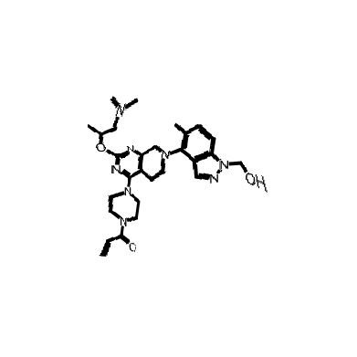 C=CC(=O)N1CCN(c2nc(OC(C)CN(C)C)nc3c2CCN(c2c(C)ccc4c2cnn4CO)C3)CC1